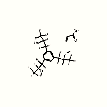 C=CC(=O)O.COC(F)(C(F)(F)F)C(F)(F)c1cc(C(F)(F)C(O)(F)C(F)(F)F)cc(C(F)(F)C(F)(OC)C(F)(F)F)c1